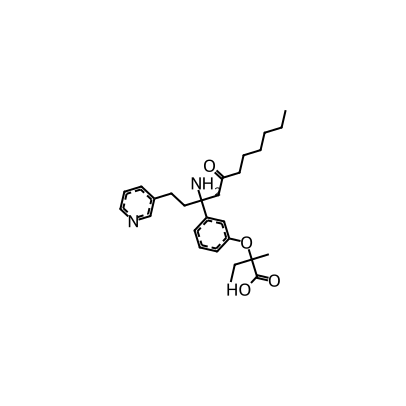 CCCCCCC(=O)CC(N)(CCc1cccnc1)c1cccc(OC(C)(CC)C(=O)O)c1